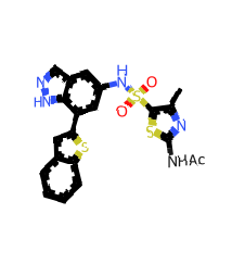 CC(=O)Nc1nc(C)c(S(=O)(=O)Nc2cc(-c3cc4ccccc4s3)c3[nH]ncc3c2)s1